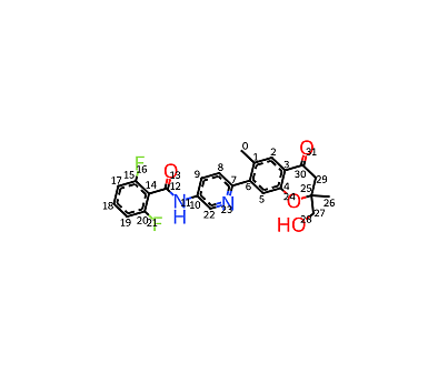 Cc1cc2c(cc1-c1ccc(NC(=O)c3c(F)cccc3F)cn1)OC(C)(CO)CC2=O